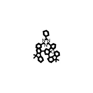 CC1(C)c2ccccc2-c2c(-c3cc(-c4cccc5c4-c4ccccc4C5(C)C)c4oc5cccc(-c6nc(-c7ccccc7)nc(-c7ccccc7)n6)c5c4c3)cccc21